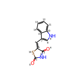 O=C1NC(=O)C(=Cc2c[nH]c3ccccc23)S1